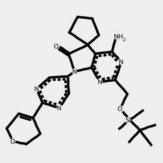 CC(C)(C)[Si](C)(C)OCc1nc(N)c2c(n1)N(c1cnc(C3=CCOCC3)nc1)C(=O)C21CCCC1